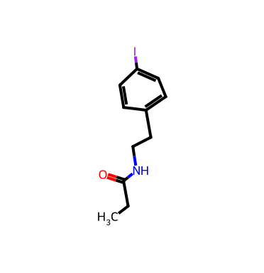 CCC(=O)NCCc1ccc(I)cc1